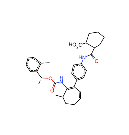 Cc1ccccc1[C@@H](C)OC(=O)NC1=C(c2ccc(NC(=O)C3CCCCC3C(=O)O)cc2)C=CCCC1C